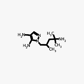 CC(Cn1ncc(N)c1N)CC(C)(C)N